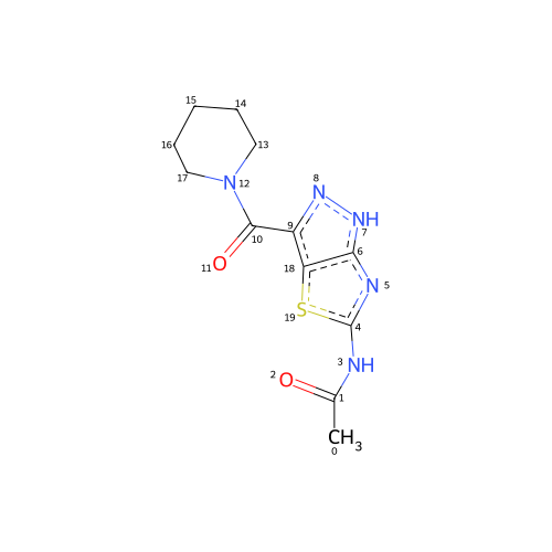 CC(=O)Nc1nc2[nH]nc(C(=O)N3CCCCC3)c2s1